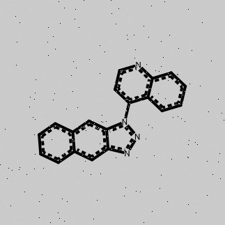 c1ccc2cc3c(cc2c1)nnn3-c1ccnc2ccccc12